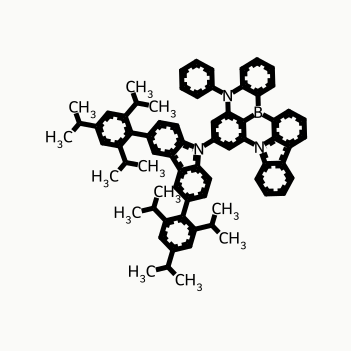 CC(C)c1cc(C(C)C)c(-c2ccc3c(c2)c2cc(-c4c(C(C)C)cc(C(C)C)cc4C(C)C)ccc2n3-c2cc3c4c(c2)-n2c5ccccc5c5cccc(c52)B4c2ccccc2N3c2ccccc2)c(C(C)C)c1